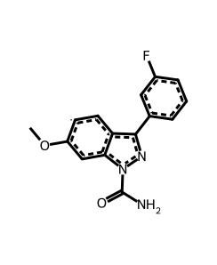 COc1[c]cc2c(-c3cccc(F)c3)nn(C(N)=O)c2c1